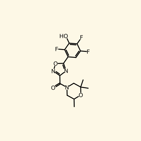 CC1CN(C(=O)c2noc(-c3cc(F)c(F)c(O)c3F)n2)CC(C)(C)O1